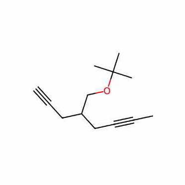 C#CCC(CC#CC)COC(C)(C)C